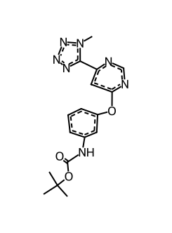 Cn1nnnc1-c1cc(Oc2cccc(NC(=O)OC(C)(C)C)c2)ncn1